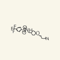 N#CCCCOC1CCC(CNS(=O)(=O)c2ccc(C(F)(F)F)cc2)CC1